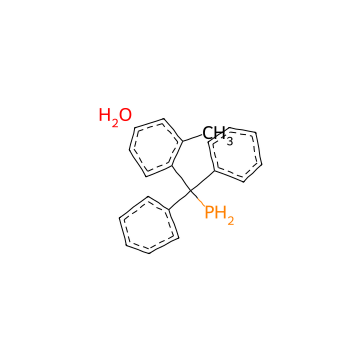 Cc1ccccc1C(P)(c1ccccc1)c1ccccc1.O